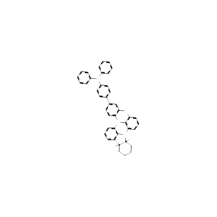 CC12CCCCC1(C)N1c3cccc4c3B(c3ccc(-c5ccc(N(c6ccccc6)c6ccccc6)cc5)cc3S4)c3cccc2c31